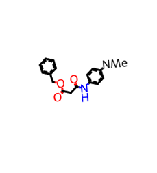 CNc1ccc(NC(=O)CC(=O)OCc2ccccc2)cc1